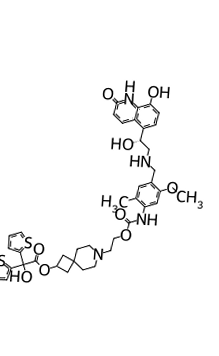 COc1cc(NC(=O)OCCN2CCC3(CC2)CC(OC(=O)C(O)(c2cccs2)c2cccs2)C3)c(C)cc1CNC[C@H](O)c1ccc(O)c2[nH]c(=O)ccc12